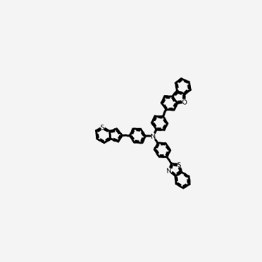 c1csc2cc(-c3ccc(N(c4ccc(-c5ccc6c(c5)oc5ccccc56)cc4)c4ccc(-c5nc6ccccc6s5)cc4)cc3)cc-2c1